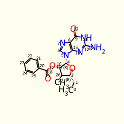 CC[C@H]1O[C@@H](n2cnc3c(=O)[nH]c(N)nc32)[C@@H](OC(=O)c2ccccc2)C1C